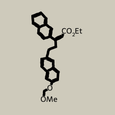 CCOC(=O)C=C(CCc1ccc2cc(OCOC)ccc2c1)c1ccc2ccccc2c1